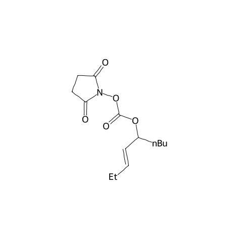 CC/C=C/C(CCCC)OC(=O)ON1C(=O)CCC1=O